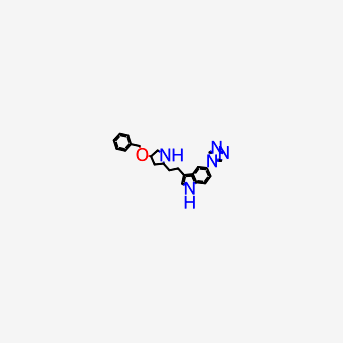 c1ccc(CO[C@H]2CNC(CCc3c[nH]c4ccc(-n5cnnc5)cc34)C2)cc1